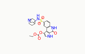 CCOC(=O)Oc1c[nH]c2c(=O)[nH]c3ccc(S(=O)(=O)NC4CN5CCC4CC5)cc3c12